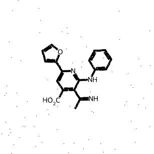 CC(=N)c1c(C(=O)O)cc(-c2ccco2)nc1Nc1ccccc1